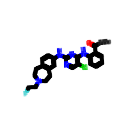 CNC(=O)c1ccccc1Nc1nc(Nc2ccc3c(c2)CCN(CCF)CC3)ncc1Cl